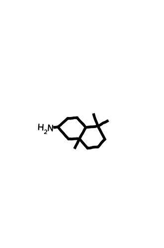 CC1(C)CCCC2(C)CC(N)CCC12